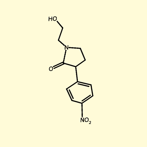 O=C1C(c2ccc([N+](=O)[O-])cc2)CCN1CCO